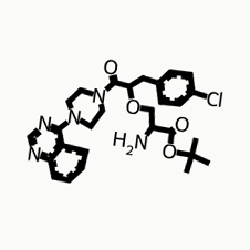 CC(C)(C)OC(=O)C(N)COC(Cc1ccc(Cl)cc1)C(=O)N1CCN(c2ncnc3ccccc23)CC1